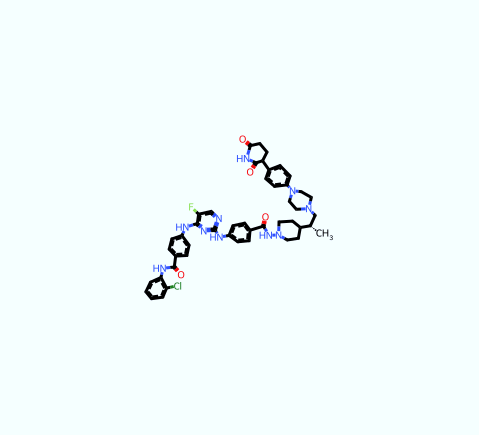 C[C@@H](CN1CCN(c2ccc(C3CCC(=O)NC3=O)cc2)CC1)C1CCN(NC(=O)c2ccc(Nc3ncc(F)c(Nc4ccc(C(=O)Nc5ccccc5Cl)cc4)n3)cc2)CC1